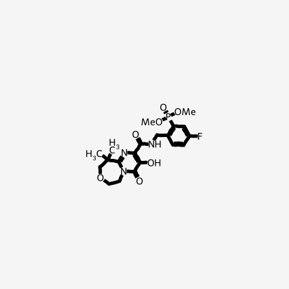 COP(=O)(OC)c1cc(F)ccc1CNC(=O)c1nc2n(c(=O)c1O)CCOCC2(C)C